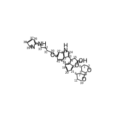 C1CCOCC1.C1CCOCC1.O=C(O)CC(c1ccccc1)c1c[nH]c2cc(OCCCCNc3ccccn3)ccc12